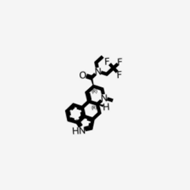 CCN(CC(F)(F)F)C(=O)[C@@H]1C=C2c3cccc4[nH]cc(c34)C[C@H]2N(C)C1